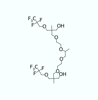 CC(COCCOCC(C)(CO)COCC(F)(F)C(F)(F)F)OCCOCC(C)(CO)COCC(F)(F)C(F)(F)F